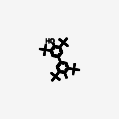 Cc1c(C(C)(C)C)cc(-c2cc(C(C)(C)C)c(O)c(C(C)(C)C)c2)cc1C(C)(C)C